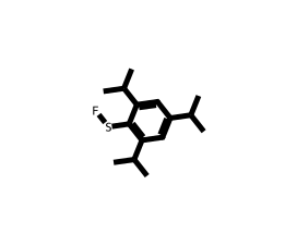 CC(C)c1cc(C(C)C)c(SF)c(C(C)C)c1